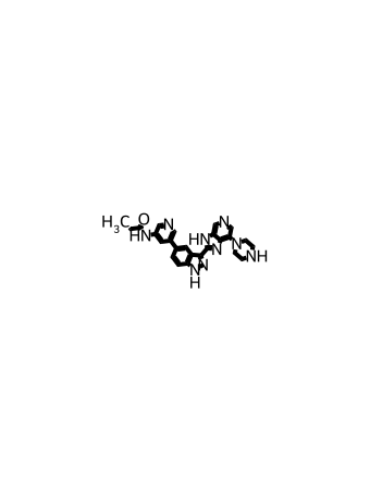 CCC(=O)Nc1cncc(-c2ccc3[nH]nc(-c4nc5c(N6CCNCC6)cncc5[nH]4)c3c2)c1